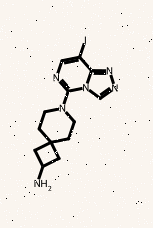 NC1CC2(CCN(c3ncc(I)c4nncn34)CC2)C1